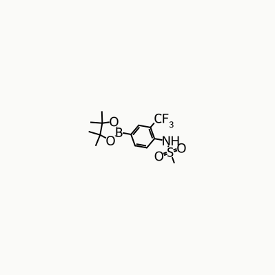 CC1(C)OB(c2ccc(NS(C)(=O)=O)c(C(F)(F)F)c2)OC1(C)C